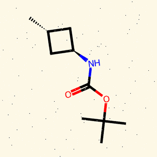 CC(C)(C)OC(=O)N[C@H]1C[C@H](C)C1